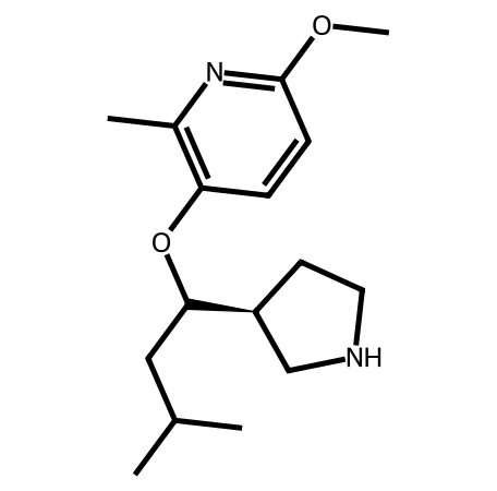 COc1ccc(OC(CC(C)C)[C@H]2CCNC2)c(C)n1